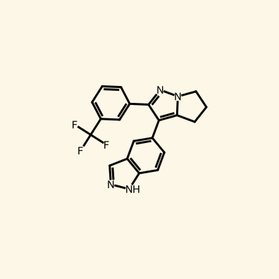 FC(F)(F)c1cccc(-c2nn3c(c2-c2ccc4[nH]ncc4c2)CCC3)c1